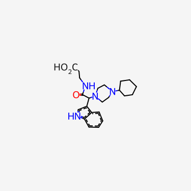 O=C(O)CCNC(=O)C(c1c[nH]c2ccccc12)N1CCN(C2CCCCC2)CC1